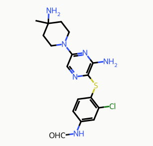 CC1(N)CCN(c2cnc(Sc3ccc(NC=O)cc3Cl)c(N)n2)CC1